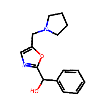 OC(c1ccccc1)c1ncc(CN2CCCC2)o1